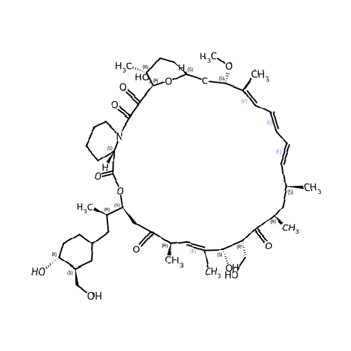 CO[C@H]1C[C@@H]2CC[C@@H](C)[C@@](O)(O2)C(=O)C(=O)N2CCCC[C@H]2C(=O)O[C@H]([C@H](C)CC2CC[C@@H](O)[C@H](CO)C2)CC(=O)[C@H](C)/C=C(\C)[C@@H](O)[C@@H](CO)C(=O)[C@H](C)C[C@H](C)/C=C/C=C/C=C/1C